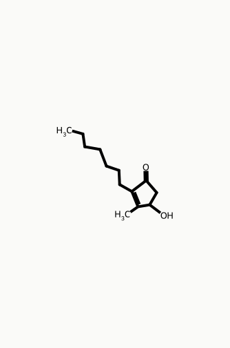 CCCCCCCC1=C(C)C(O)CC1=O